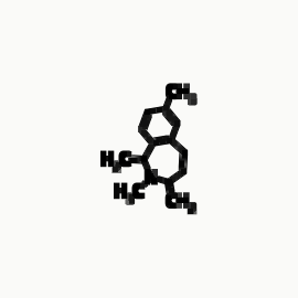 C=C1C=Cc2cc(C)ccc2C(=C)N1C